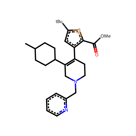 COC(=O)c1sc(C(C)(C)C)cc1C1=C(C2CCC(C)CC2)CN(Cc2ccccn2)CC1